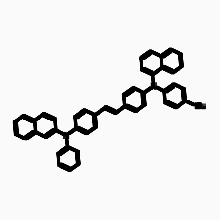 CC(C)(C)c1ccc(N(c2ccc(/C=C/c3ccc(N(c4ccccc4)c4ccc5ccccc5c4)cc3)cc2)c2cccc3ccccc23)cc1